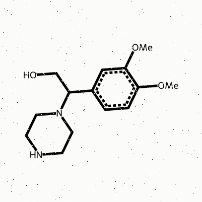 COc1ccc(C(CO)N2CCNCC2)cc1OC